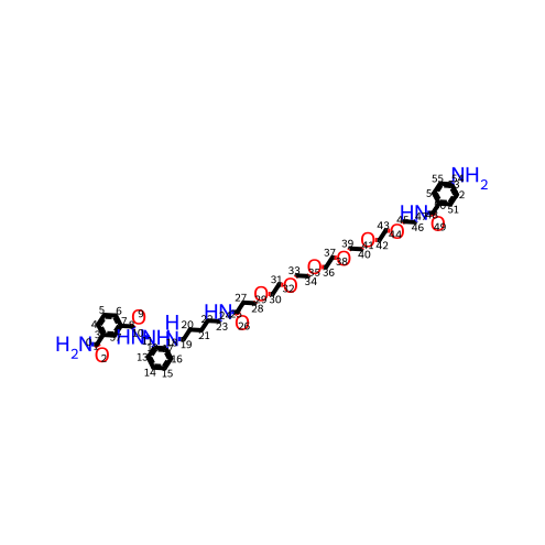 NC(=O)c1cccc(C(=O)NNc2ccccc2NCCCCCNC(=O)CCOCCOCCOCCOCCOCCOCCNC(=O)c2ccc(N)cc2)c1